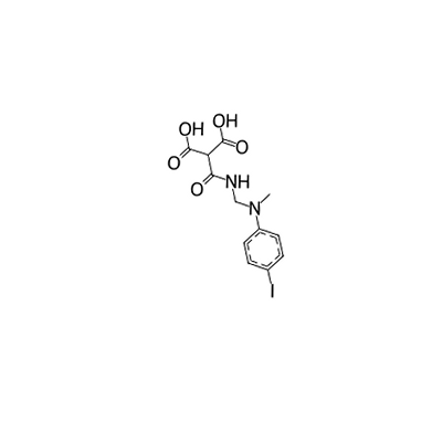 CN(CNC(=O)C(C(=O)O)C(=O)O)c1ccc(I)cc1